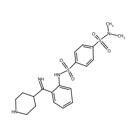 CN(C)S(=O)(=O)c1ccc(S(=O)(=O)Nc2ccccc2C(=N)C2CCNCC2)cc1